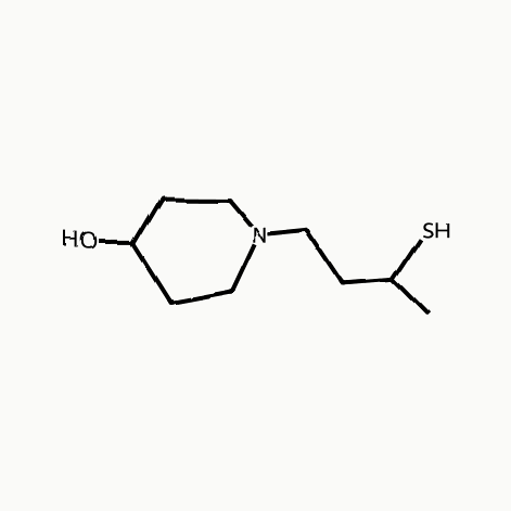 CC(S)CCN1CCC(O)CC1